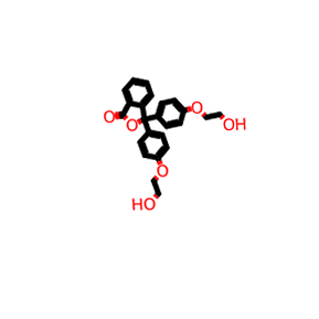 O=C1OC(c2ccc(OCCO)cc2)(c2ccc(OCCO)cc2)c2ccccc21